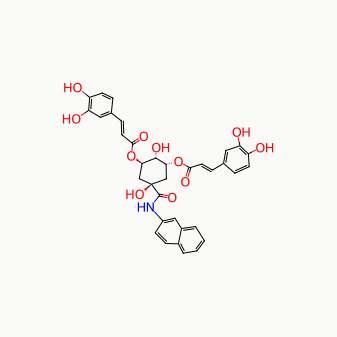 O=C(C=Cc1ccc(O)c(O)c1)O[C@@H]1C[C@@](O)(C(=O)Nc2ccc3ccccc3c2)C[C@@H](OC(=O)/C=C/c2ccc(O)c(O)c2)[C@H]1O